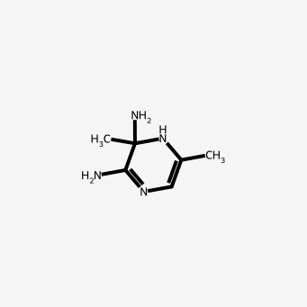 CC1=CN=C(N)C(C)(N)N1